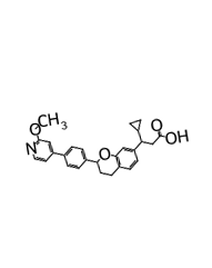 COc1cc(-c2ccc(C3CCc4ccc(C(CC(=O)O)C5CC5)cc4O3)cc2)ccn1